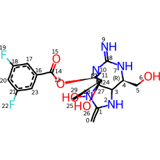 C=C1NC2[C@H](CO)NC(=N)N3C[C@H](OC(=O)c4cc(F)cc(F)c4)[C@](C)(O)C23N1O